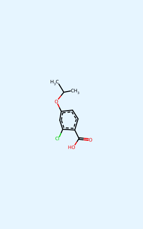 CC(C)Oc1ccc(C(=O)O)c(Cl)c1